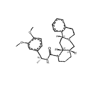 COc1ccc([C@@H](C)NC(=O)N2CCC[C@H]3CN4CCc5ccccc5[C@H]4C[C@H]32)cc1OC